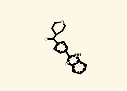 O=C(c1ccc(-c2nc3ccccc3[nH]2)cc1)C1CCOCC1